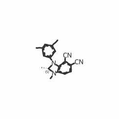 Cc1cc(C)cc(N2c3c(ccc(C#N)c3C#N)N(C)[C@@H]2C)c1